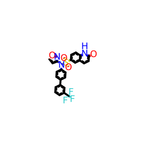 O=c1ccc2cc(S(=O)(=O)N(c3ccc(-c4cccc(C(F)(F)F)c4)cc3)c3ccon3)ccc2[nH]1